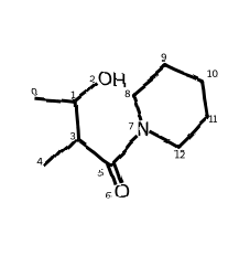 CC(O)C(C)C(=O)N1CCCCC1